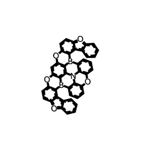 c1cc2c3c(c1)B1c4c(cc5c6c4N3c3c(cccc3B6c3c(ccc4oc6ccccc6c34)O5)O2)Oc2ccc3oc4ccccc4c3c21